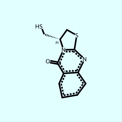 O=c1c2ccccc2nc2n1[C@H](CS)CS2